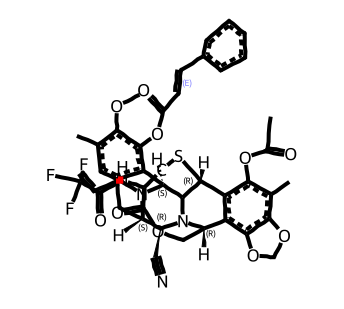 C=CCN1[C@H]2c3c(cc(C)c(OC)c3OC(=O)/C=C/c3ccccc3)C[C@H]1[C@H](C#N)N1C2[C@@H]2SCC(NC(=O)C(F)(F)F)C(=O)OC[C@H]1c1c3c(c(C)c(OC(C)=O)c12)OCO3